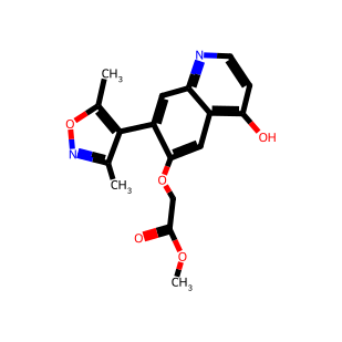 COC(=O)COc1cc2c(O)ccnc2cc1-c1c(C)noc1C